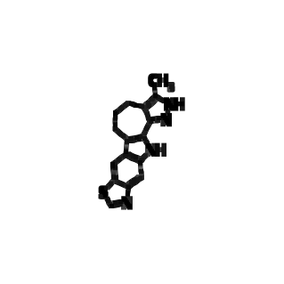 Cc1[nH]nc2c1CCCc1c-2[nH]c2cc3ncsc3cc12